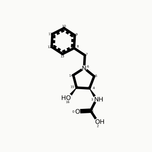 O=C(O)N[C@@H]1CN(Cc2ccccc2)C[C@@H]1O